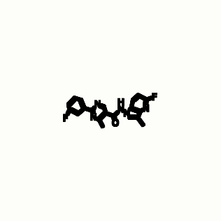 Cc1nc(-c2cccc(F)c2)ncc1C(=O)Nn1cc(C)c2nc(F)ccc21